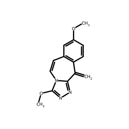 C=C1c2ccc(OC)cc2C=Cn2c(OC)nnc21